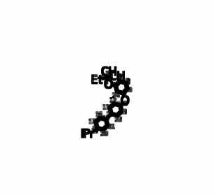 CCC(C)(C)Oc1cccc(Oc2ccc(-c3ccc(C(C)C)cc3)cc2)c1